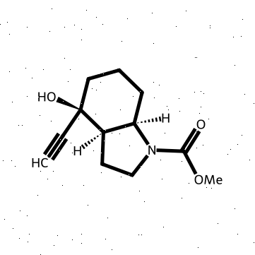 C#C[C@]1(O)CCC[C@@H]2[C@H]1CCN2C(=O)OC